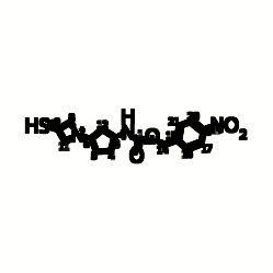 O=C(N[C@H]1CC[C@@H](N2CC(S)C2)C1)OCc1ccc([N+](=O)[O-])cc1